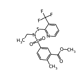 CCN(Sc1ncccc1C(F)(F)F)S(=O)(=O)c1ccc(C)c(C(=O)OC)c1